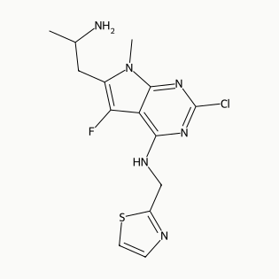 CC(N)Cc1c(F)c2c(NCc3nccs3)nc(Cl)nc2n1C